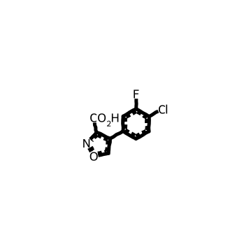 O=C(O)c1nocc1-c1ccc(Cl)c(F)c1